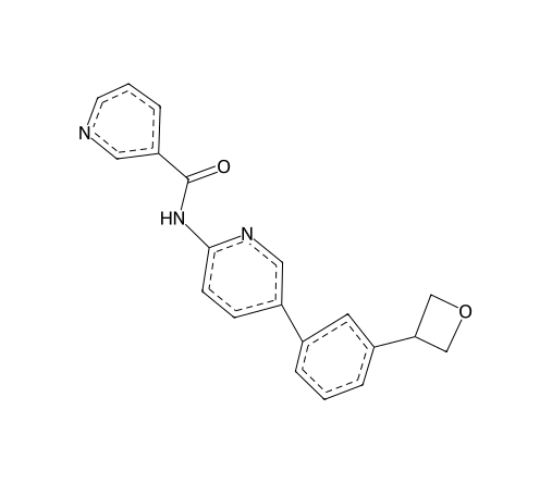 O=C(Nc1ccc(-c2cccc(C3COC3)c2)cn1)c1cccnc1